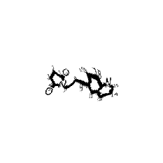 O=C1CCC(=O)N1CCCC1C=c2cccnc2=CC1